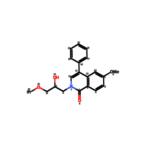 COc1ccc2c(=O)n(CC(O)COC(C)C)cc(-c3ccccc3)c2c1